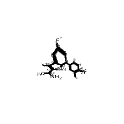 Cc1cc(-c2cc(F)cc3c(C)c(C(N)O)[nH]c23)ccc1F